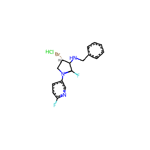 Cl.Fc1ccc(N2C[C@H](Br)C(NCc3ccccc3)C2F)cn1